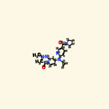 CN(C)/N=c1/cc(N(c2ccc(C(=O)N3CCCC3)cn2)C2CC2)ccn1C=O